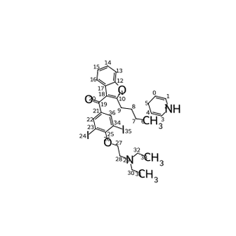 C1=CNC=CC1.CCCCc1oc2ccccc2c1C(=O)c1cc(I)c(OCCN(CC)CC)c(I)c1